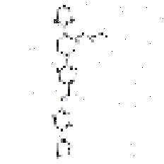 FCOC[C@H]1CN(c2ncc(/C=C/c3ccc(-n4ccnc4)nc3)cn2)CCN1c1ncccn1